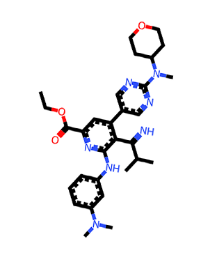 CCOC(=O)c1cc(-c2cnc(N(C)C3CCOCC3)nc2)c(C(=N)C(C)C)c(Nc2cccc(N(C)C)c2)n1